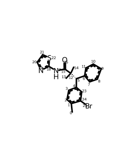 Cc1ccc([C@@H](c2ccccc2)C(C)(C)C(=O)Nc2nccs2)cc1Br